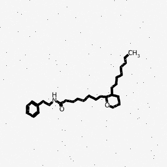 CCCCCCCCC1CCCOC1CCCCCCCC(=O)NCCc1ccccc1